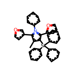 Cc1c([Si](c2ccccc2)(c2ccccc2)c2ccccc2)c(-c2ccco2)n(-c2ccccc2)c1-c1ccoc1